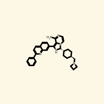 NC1=NC=CN2C1=C(c1ccc3ccc(-c4ccccc4)nc3c1)NC2[C@H]1CC[C@H](CN2CCC2)CC1